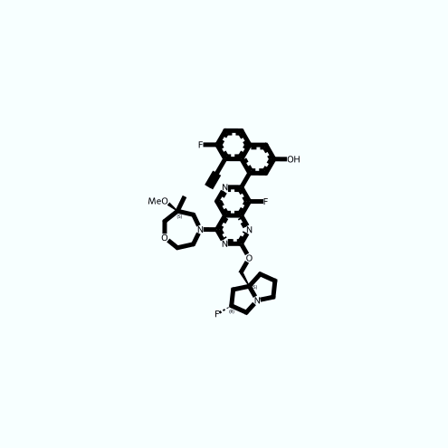 C#Cc1c(F)ccc2cc(O)cc(-c3ncc4c(N5CCOC[C@@](C)(OC)C5)nc(OC[C@@]56CCCN5C[C@H](F)C6)nc4c3F)c12